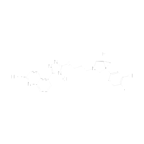 Cc1ccc2c(-c3nnc(SCCCN4C[C@H]5CC5(c5ccc(Cl)c(Cl)c5)C4)n3C)cccc2n1